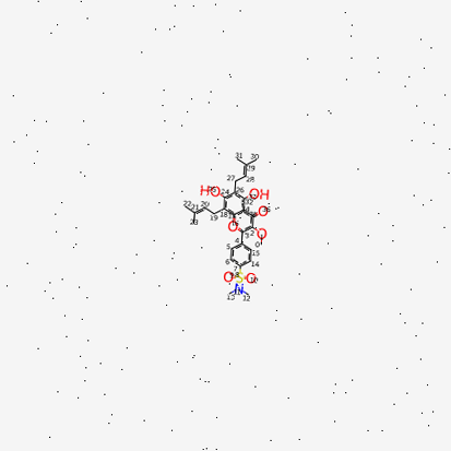 COc1c(-c2ccc(S(=O)(=O)N(C)C)cc2)oc2c(CC=C(C)C)c(O)c(CC=C(C)C)c(O)c2c1=O